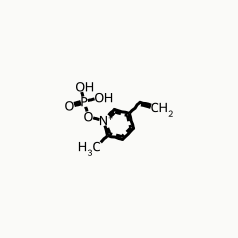 C=Cc1ccc(C)[n+](OP(=O)(O)O)c1